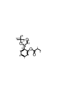 CCC(=O)Oc1ccccc1N(C=O)OC(C)(C)C